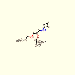 CCCCCCCCCCCCOCC(CNC1CCC1)OCC(C=O)CCCCCCCCCC